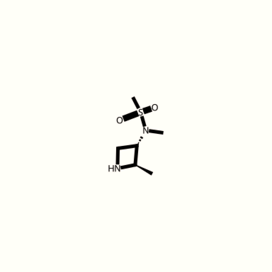 C[C@H]1NC[C@@H]1N(C)S(C)(=O)=O